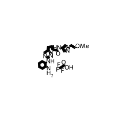 COCCn1cc(NC(=O)c2ccc3cnc(N[C@@H]4CCCC[C@@H]4N)nn23)cn1.O=C(O)C(F)(F)F